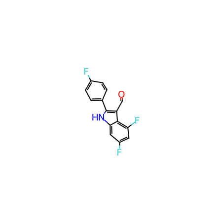 O=Cc1c(-c2ccc(F)cc2)[nH]c2cc(F)cc(F)c12